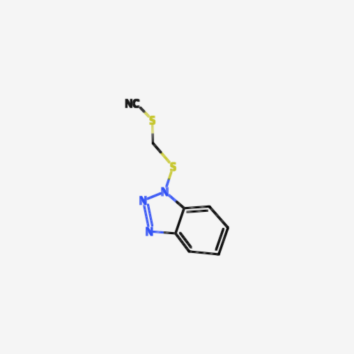 N#CSCSn1nnc2ccccc21